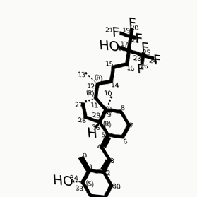 C=C1C(=CC=C2CCC[C@]3(C)[C@@H]([C@H](C)CCCC(O)(C(F)(F)F)C(F)(F)F)CC[C@@H]23)CCC[C@@H]1O